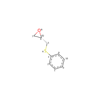 c1ccc(SC[C@@H]2CO2)cc1